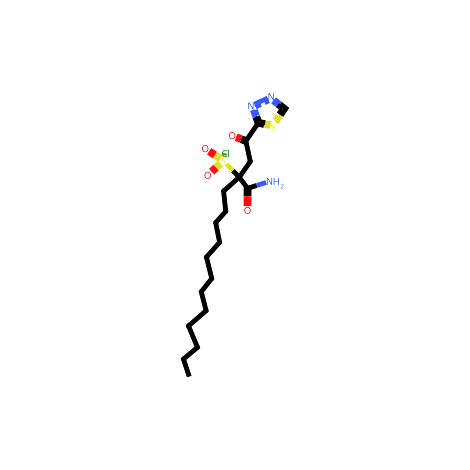 CCCCCCCCCCCCC(CC(=O)c1nncs1)(C(N)=O)S(=O)(=O)Cl